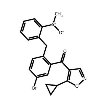 C[S+]([O-])c1ccccc1Cc1ccc(Br)cc1C(=O)c1cnoc1C1CC1